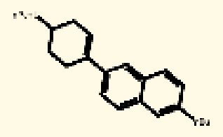 CCCCCC1CC=C(c2ccc3cc(CCCC)ccc3c2)CC1